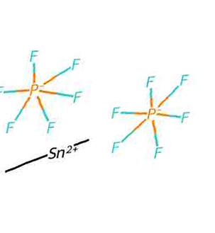 F[P-](F)(F)(F)(F)F.F[P-](F)(F)(F)(F)F.[CH3][Sn+2][CH3]